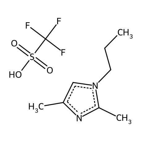 CCCn1cc(C)nc1C.O=S(=O)(O)C(F)(F)F